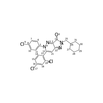 O=c1c2nn(-c3ccc(Cl)cc3)c(-c3ccc(Cl)cc3Cl)cc-2nn1CC1CCCCC1